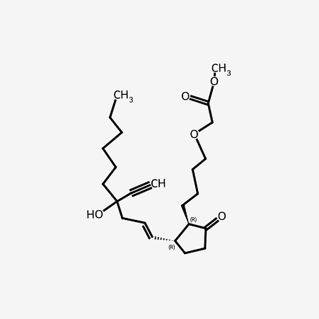 C#CC(O)(CC=C[C@H]1CCC(=O)[C@@H]1CCCCOCC(=O)OC)CCCCCC